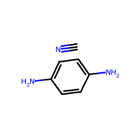 C#N.Nc1ccc(N)cc1